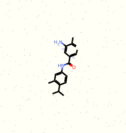 C=C(C)/C(N)=C\C(=C/C)C(=O)Nc1ccc(C(C)C)c(C)c1